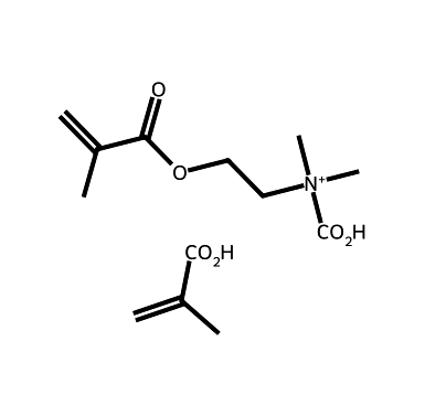 C=C(C)C(=O)O.C=C(C)C(=O)OCC[N+](C)(C)C(=O)O